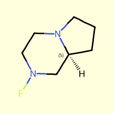 FN1CCN2CCC[C@H]2C1